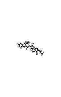 CC(C)CNC1=CC=C2C(CC[C@]23CN(CC(=O)N(Cc2ccc(F)cc2)C(C)C(F)(F)F)C(=O)O3)C1=O